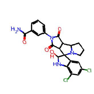 NC(=O)c1cccc(N2C(=O)C3C4CCCN4C4(c5cc(Cl)cc(Cl)c5NC4O)C3C2=O)c1